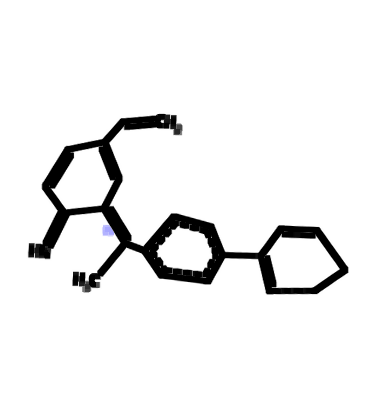 C=CC1=C/C(=C(/C)c2ccc(C3=CCCC=C3)cc2)C(=N)C=C1